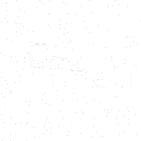 CC=CNC(=O)Cc1ccccc1